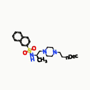 CCCCCCCCCCCCN1CCN(C[C@@H](C)NS(=O)(=O)c2ccc3ccccc3c2)CC1